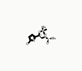 CC(C)(C)[S+]([O-])NC[C@H](O[Si](C)(C)C(C)(C)C)c1ccc(Cl)s1